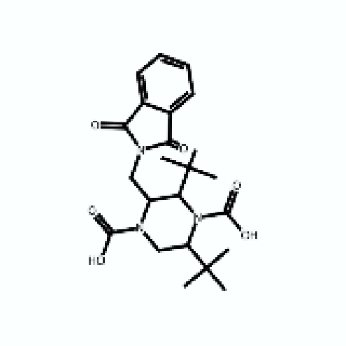 CC(C)(C)C1CN(C(=O)O)C(CN2C(=O)c3ccccc3C2=O)C(C(C)(C)C)N1C(=O)O